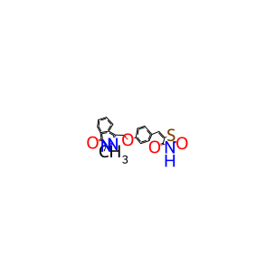 Cn1nc(COc2ccc(C=C3SC(=O)NC3=O)cc2)c2ccccc2c1=O